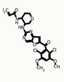 C=CC(=O)NC1CCOCC1Nc1ncc2oc(C(=O)c3c(Cl)c(OC)cc(OC)c3Cl)cc2n1